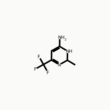 CC1N=C(C(F)(F)F)C=C(N)N1